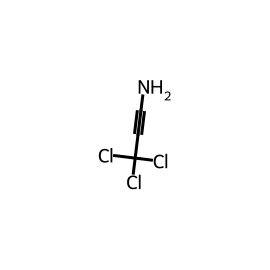 NC#CC(Cl)(Cl)Cl